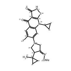 CON=C1CN(c2cc3c(cc2F)c(=O)c2c(=O)[nH]sc2n3C2CC2)CC1C1(N)CC1